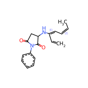 C=C/C(=C\C=C/C)NC1CC(=O)N(c2ccccc2)C1=O